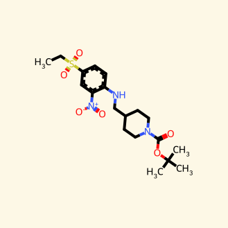 CCS(=O)(=O)c1ccc(NCC2CCN(C(=O)OC(C)(C)C)CC2)c([N+](=O)[O-])c1